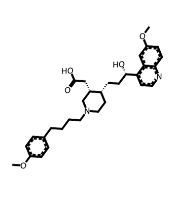 COc1ccc(CCCCN2CC[C@@H](CC[C@H](O)c3ccnc4ccc(OC)cc34)[C@@H](CC(=O)O)C2)cc1